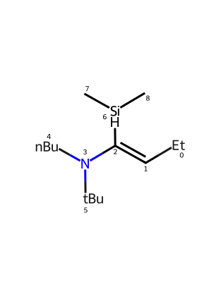 CCC=C(N(CCCC)C(C)(C)C)[SiH](C)C